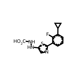 O=C(O)NNc1cnc(-c2cccc(C3CC3)c2F)s1